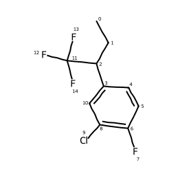 CCC(c1ccc(F)c(Cl)c1)C(F)(F)F